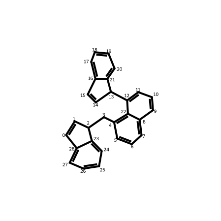 C1=CC(Cc2cccc3cccc(C4C=Cc5ccccc54)c23)c2ccccc21